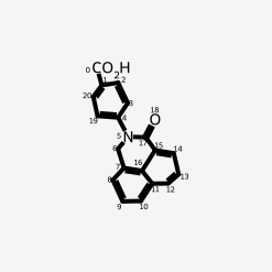 O=C(O)c1ccc(N2Cc3cccc4cccc(c34)C2=O)cc1